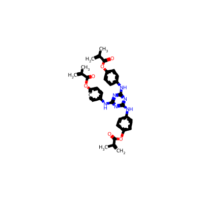 C=C(C)C(=O)Oc1ccc(Nc2nc(Nc3ccc(OC(=O)C(=C)C)cc3)nc(Nc3ccc(OC(=O)C(=C)C)cc3)n2)cc1